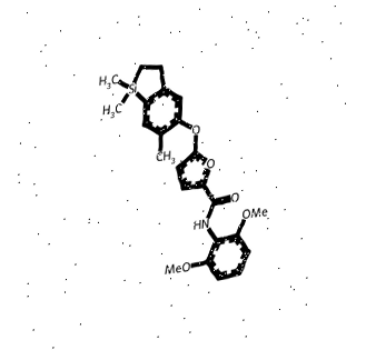 COc1cccc(OC)c1NC(=O)c1ccc(Oc2cc3c(cc2C)[Si](C)(C)CC3)o1